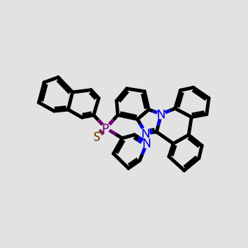 S=P(c1cccnc1)(c1ccc2ccccc2c1)c1cccc2c1nc1c3ccccc3c3ccccc3n21